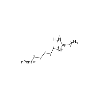 CC=C(N)NCCCCCCCCCC